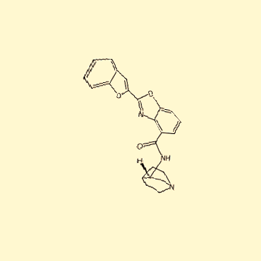 O=C(N[C@@H]1CN2CCC1CC2)c1cccc2oc(-c3cc4ccccc4o3)nc12